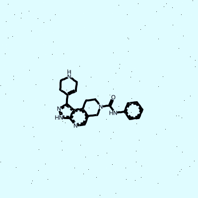 O=C(Nc1ccccc1)N1CCc2c(cnc3[nH]nc(C4=CCNCC4)c23)C1